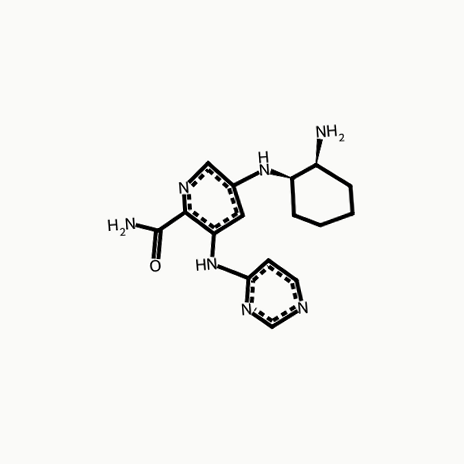 NC(=O)c1ncc(N[C@@H]2CCCC[C@@H]2N)cc1Nc1ccncn1